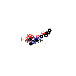 C1=CNc2ccccc2C=N1.Cc1ccc(C(=O)O)cc1C(=O)O.Cc1ccccc1C(=O)Nc1ccc(C(=O)C2=c3ccc4c(c3CCC2)CC=c2ccccc2=4)cc1